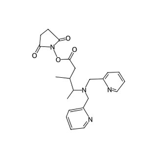 CC(CC(=O)ON1C(=O)CCC1=O)C(C)N(Cc1ccccn1)Cc1ccccn1